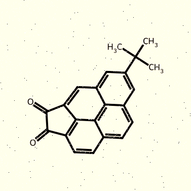 CC(C)(C)c1cc2ccc3ccc4c5c(cc(c1)c2c35)C(=O)C4=O